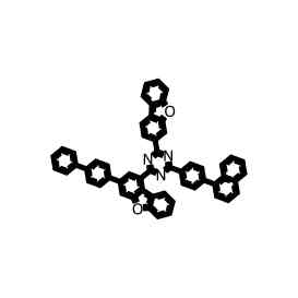 c1ccc(-c2ccc(-c3cc(-c4nc(-c5ccc(-c6cccc7ccccc67)cc5)nc(-c5ccc6c(c5)oc5ccccc56)n4)c4c(c3)oc3ccccc34)cc2)cc1